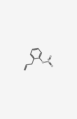 C=CCc1ccccc1O[SH](=O)=O